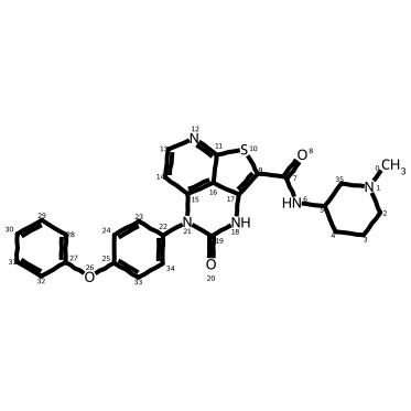 CN1CCCC(NC(=O)c2sc3nccc4c3c2NC(=O)N4c2ccc(Oc3ccccc3)cc2)C1